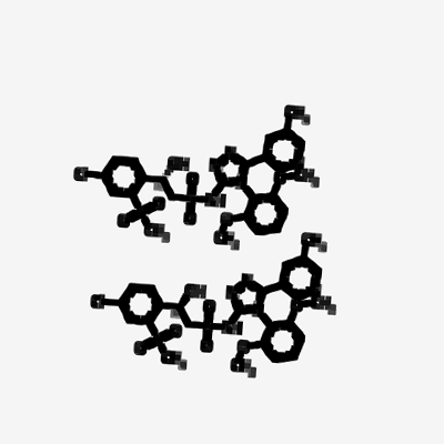 COc1cccc(OC)c1-n1c(NS(=O)(=O)C[C@@H](O)c2ccc(Cl)cc2S(C)(=O)=O)nnc1-c1cncc(C)c1.COc1cccc(OC)c1-n1c(NS(=O)(=O)C[C@H](O)c2ccc(Cl)cc2S(C)(=O)=O)nnc1-c1cncc(C)c1